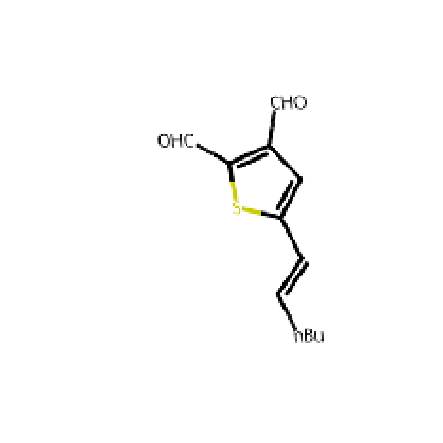 CCCCC=Cc1cc(C=O)c(C=O)s1